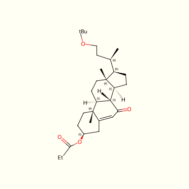 CCC(=O)O[C@H]1CC[C@@]2(C)C(=CC(=O)[C@H]3[C@@H]4CC[C@H]([C@H](C)CCOC(C)(C)C)[C@@]4(C)CC[C@@H]32)C1